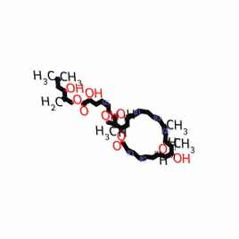 C=C(COC(=O)C(O)C/C=C\C[C@@H]1O[C@@H]2/C=C/C/C=C/C(C)=C\[C@H]3O[C@@H](C/C=C/C=C/C(=O)O[C@H](C2)[C@@]1(C)CO)C[C@H](O)[C@H]3C)C(O)CC(C)C